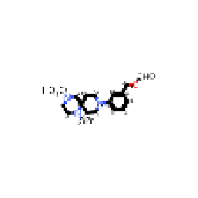 CCCN1CCN(C(=O)O)CC12CCN(c1cccc(COC=O)c1)CC2